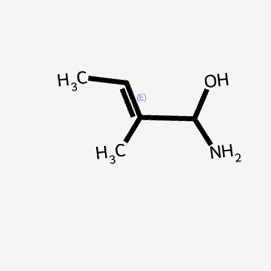 C/C=C(\C)C(N)O